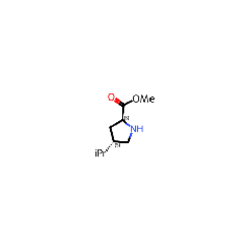 COC(=O)[C@@H]1C[C@@H](C(C)C)CN1